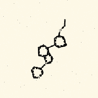 CCOc1cccc(-c2cccc3c2ccn3-c2cccnc2)c1